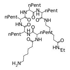 CCCCCC(NC(=O)CCCCCN)C(=O)NC(CCCCC)C(=O)NC(CCCCC)C(=O)NC(CCCCC)C(=O)NC(CCCCC)C(=O)NCCCCCC(=O)NCC